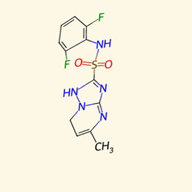 CC1=CCN2NC(S(=O)(=O)Nc3c(F)cccc3F)=NC2=N1